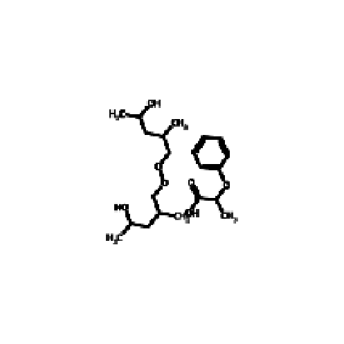 CC(O)CC(C)COOCC(C)CC(C)O.CC(Oc1ccccc1)C(=O)O